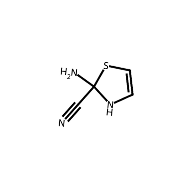 N#CC1(N)NC=CS1